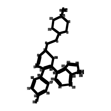 CC(=O)N1CCC(CCC2C=NC(c3ccc(F)cc3)=C(c3ccnc4[nH]ccc34)C2)CC1